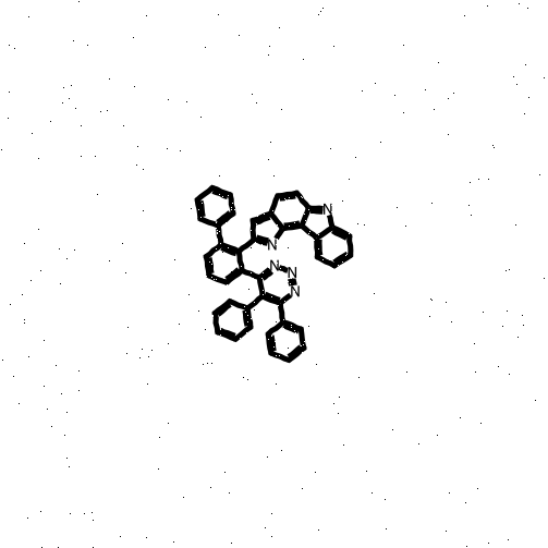 C1=c2ccc3c(c2N=C1c1c(-c2ccccc2)cccc1-c1nnnc(-c2ccccc2)c1-c1ccccc1)-c1ccccc1N=3